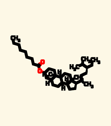 CCCCCCCCC(=O)O[C@H]1CC[C@@]2(C)[C@@H](CC[C@@H]3[C@@H]2CC[C@]2(C)[C@@H]([C@H](C)CC[C@@H](CC)C(C)C)CC[C@@H]32)C1